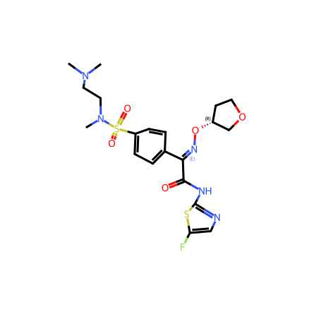 CN(C)CCN(C)S(=O)(=O)c1ccc(/C(=N\O[C@@H]2CCOC2)C(=O)Nc2ncc(F)s2)cc1